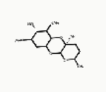 CNC1CC2OC3O[C@H](C)CC[C@]3(O)OC2C(NC)[C@H]1O